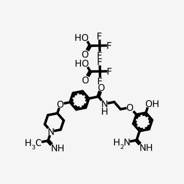 CC(=N)N1CCC(Oc2ccc(C(=O)NCCOc3cc(C(=N)N)ccc3O)cc2)CC1.O=C(O)C(F)(F)F.O=C(O)C(F)(F)F